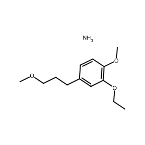 CCOc1cc(CCCOC)ccc1OC.N